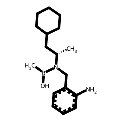 CB(O)N(Cc1ccccc1N)[C@@H](C)CC1CCCCC1